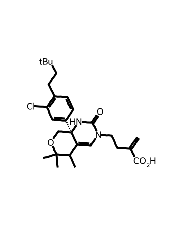 C=C(CCN1C=C2C(C)C(C)(C)OC[C@@]2(c2ccc(CCC(C)(C)C)c(Cl)c2)NC1=O)C(=O)O